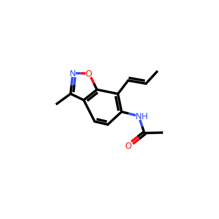 CC=Cc1c(NC(C)=O)ccc2c(C)noc12